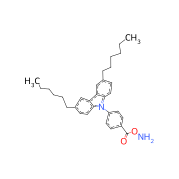 CCCCCCc1ccc2c(c1)c1cc(CCCCCC)ccc1n2-c1ccc(C(=O)ON)cc1